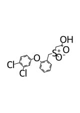 O=C(O)C[S+]([O-])Cc1ccccc1Oc1ccc(Cl)c(Cl)c1